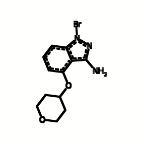 Nc1nn(Br)c2cccc(OC3CCOCC3)c12